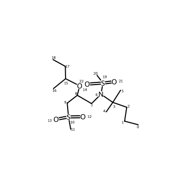 CCCC(C)(C)N(CC(CS(C)(=O)=O)OC(C)CC)S(C)(=O)=O